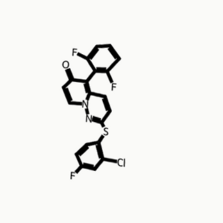 O=c1ccn2nc(Sc3ccc(F)cc3Cl)ccc2c1-c1c(F)cccc1F